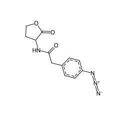 [N-]=[N+]=Nc1ccc(CC(=O)NC2CCOC2=O)cc1